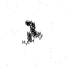 CNc1ccc2sc(CC[C@H]3O[C@@H](n4cc(-c5ccn(C)n5)c5c(C)ncnc54)[C@@H](F)[C@@H]3O[Si](C)(C)C(C)(C)C)cc2n1